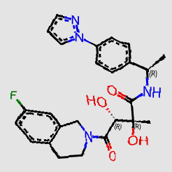 C[C@@H](NC(=O)[C@](C)(O)[C@@H](O)C(=O)N1CCc2ccc(F)cc2C1)c1ccc(-n2cccn2)cc1